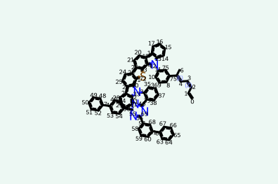 C=C/C=C\C=C(/C)c1cccc(-n2c3ccccc3c3ccc4c5ccc6c7ccccc7n(-c7ccccc7-c7nc(-c8ccc(-c9ccccc9)cc8)nc(-c8cccc(-c9ccccc9)c8)n7)c6c5sc4c32)c1